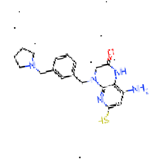 Nc1cc(S)nc2c1NC(=O)CN2Cc1cccc(CN2CCCC2)c1